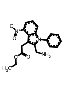 CCOC(=O)Cc1c(CN)n(-c2ccccc2)c2cccc([N+](=O)[O-])c12